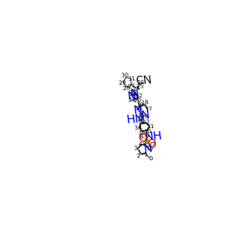 Cc1cccc(S(=O)(=O)Nc2ccc(Nc3nccc(-c4cnn(C(CC#N)C5CCCC5)c4)n3)cc2)n1